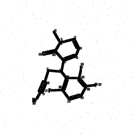 Cn1cccc(C(CC#CBr)c2c(F)ccc(F)c2F)c1=O